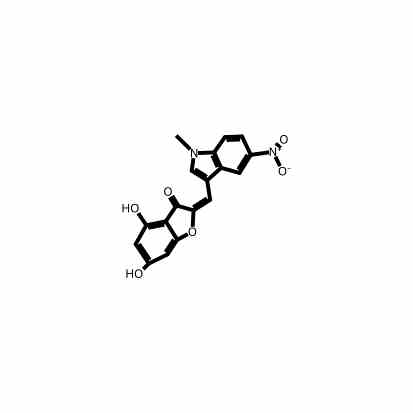 Cn1cc(/C=C2/Oc3cc(O)cc(O)c3C2=O)c2cc([N+](=O)[O-])ccc21